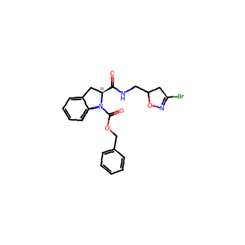 O=C(NCC1CC(Br)=NO1)[C@@H]1Cc2ccccc2N1C(=O)OCc1ccccc1